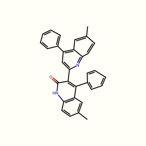 Cc1ccc2nc(-c3c(-c4ccccc4)c4cc(C)ccc4[nH]c3=O)cc(-c3ccccc3)c2c1